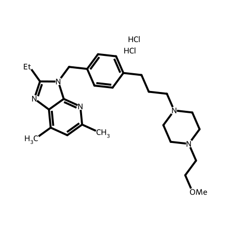 CCc1nc2c(C)cc(C)nc2n1Cc1ccc(CCCN2CCN(CCOC)CC2)cc1.Cl.Cl